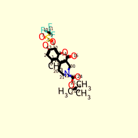 Cc1cc(OS(=O)(=O)C(F)(F)F)cc2oc(=O)c3c(c12)CCN(C(=O)OC(C)(C)C)C3